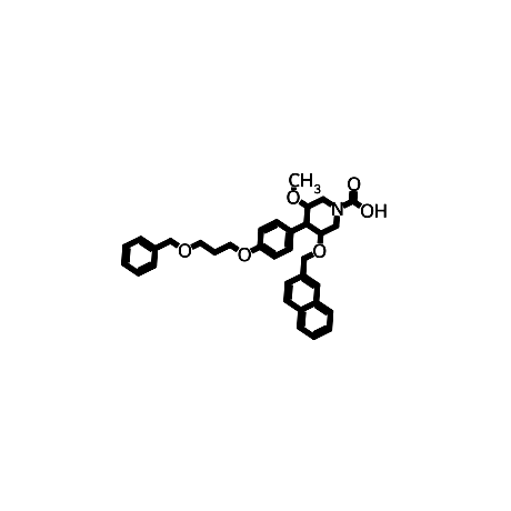 COC1CN(C(=O)O)CC(OCc2ccc3ccccc3c2)C1c1ccc(OCCCOCc2ccccc2)cc1